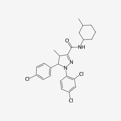 CC1CCCC(NC(=O)C2=NN(c3ccc(Cl)cc3Cl)C(c3ccc(Cl)cc3)C2C)C1